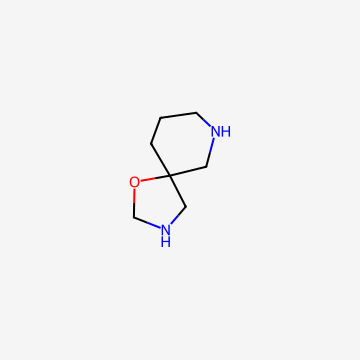 C1CNCC2(C1)CNCO2